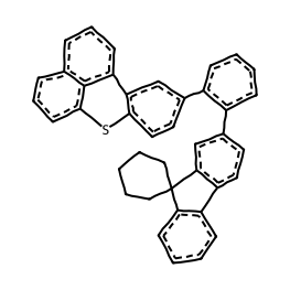 c1ccc(-c2ccc3c(c2)C2(CCCCC2)c2ccccc2-3)c(-c2ccc3c(c2)-c2cccc4cccc(c24)S3)c1